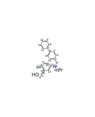 CCCN(Cc1ccc(-c2ccccc2)cc1)c1ccc(F)c(C(=O)O)c1